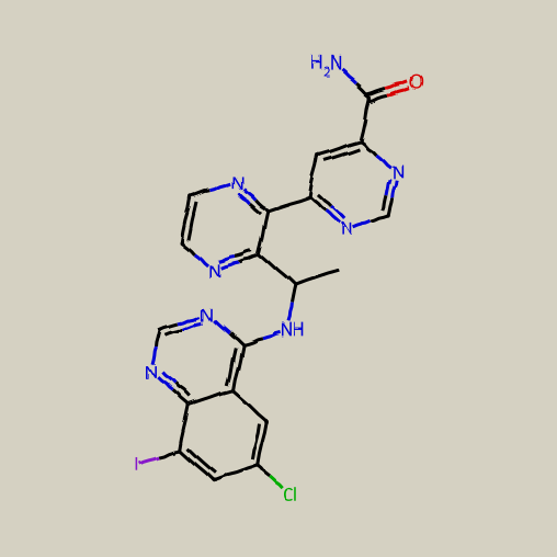 CC(Nc1ncnc2c(I)cc(Cl)cc12)c1nccnc1-c1cc(C(N)=O)ncn1